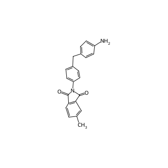 Cc1ccc2c(c1)C(=O)N(c1ccc(Cc3ccc(N)cc3)cc1)C2=O